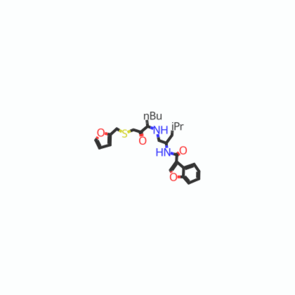 CCCCC(NCC(CC(C)C)NC(=O)c1coc2ccccc12)C(=O)CSCc1ccco1